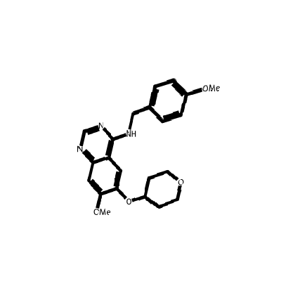 COc1ccc(CNc2ncnc3cc(OC)c(OC4CCOCC4)cc23)cc1